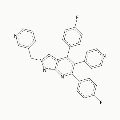 Fc1ccc(-c2nc3nn(Cc4cccnc4)cc3c(-c3ccc(F)cc3)c2-c2ccncc2)cc1